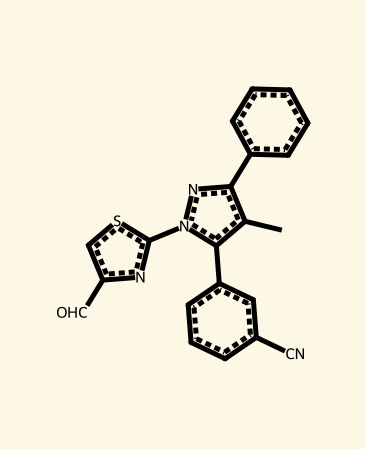 Cc1c(-c2ccccc2)nn(-c2nc(C=O)cs2)c1-c1cccc(C#N)c1